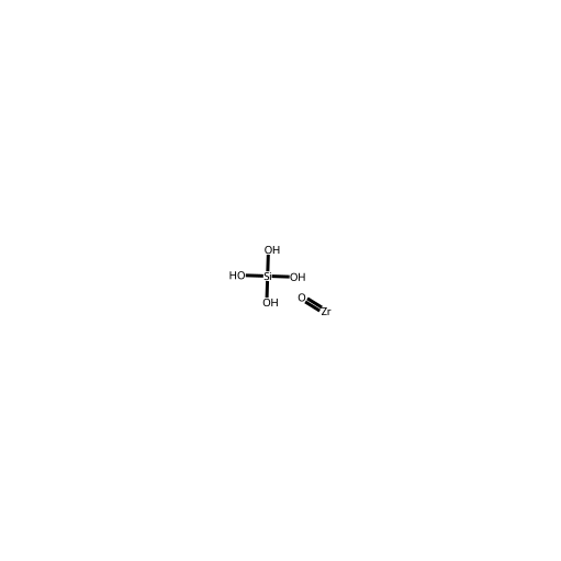 O[Si](O)(O)O.[O]=[Zr]